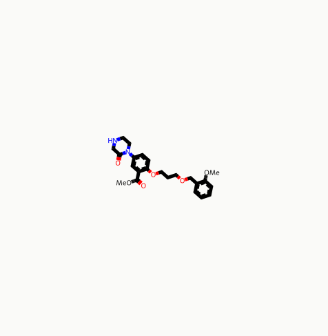 COC(=O)c1cc(N2CCNCC2=O)ccc1OCCCOCc1ccccc1OC